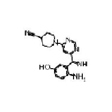 N#CC1CCN(c2cc(C(=N)c3cc(O)ccc3N)ncn2)CC1